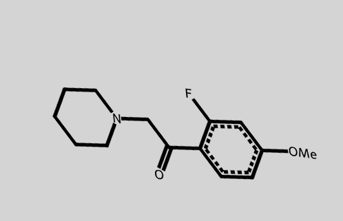 COc1ccc(C(=O)CN2CCCCC2)c(F)c1